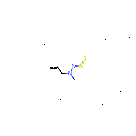 C=CCN(C)N=S=S